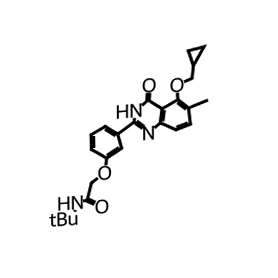 Cc1ccc2nc(-c3cccc(OCC(=O)NC(C)(C)C)c3)[nH]c(=O)c2c1OCC1CC1